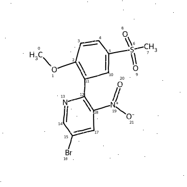 COc1ccc(S(C)(=O)=O)cc1-c1ncc(Br)cc1[N+](=O)[O-]